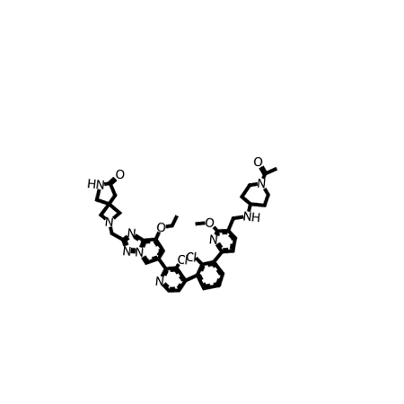 CCOc1cc(-c2nccc(-c3cccc(-c4ccc(CNC5CCN(C(C)=O)CC5)c(OC)n4)c3Cl)c2Cl)cn2nc(CN3CC4(CNC(=O)C4)C3)nc12